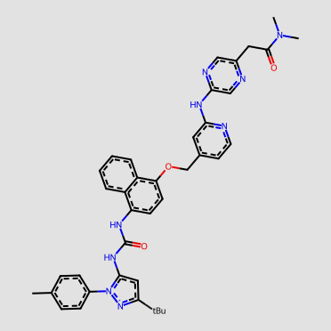 Cc1ccc(-n2nc(C(C)(C)C)cc2NC(=O)Nc2ccc(OCc3ccnc(Nc4cnc(CC(=O)N(C)C)cn4)c3)c3ccccc23)cc1